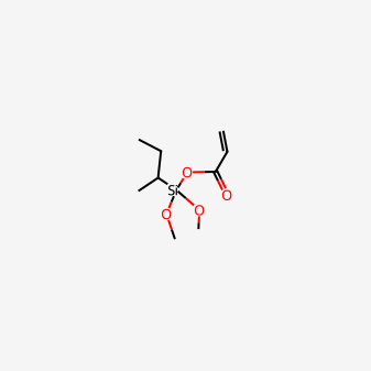 C=CC(=O)O[Si](OC)(OC)C(C)CC